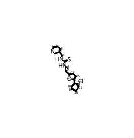 S=C(NCc1cccnc1)N/N=C/c1ccc(-c2ccccc2Cl)o1